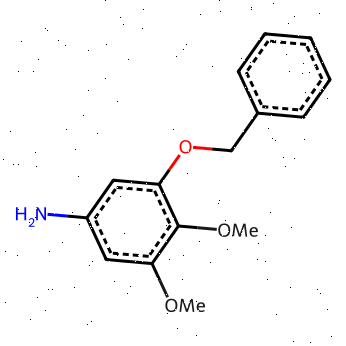 COc1cc(N)cc(OCc2ccccc2)c1OC